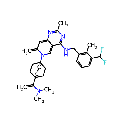 C=C1C=c2nc(C)nc(NCc3cccc(C(F)F)c3C)c2=CN1C12CCC(C(=C)N(C)C)(CC1)CC2